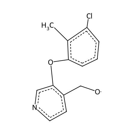 Cc1c(Cl)cccc1Oc1cnccc1C[O]